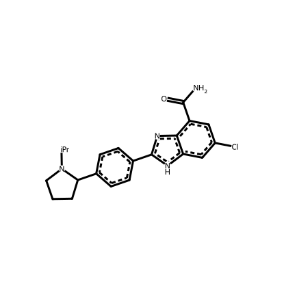 CC(C)N1CCCC1c1ccc(-c2nc3c(C(N)=O)cc(Cl)cc3[nH]2)cc1